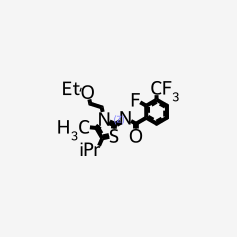 CCOCCn1c(C)c(C(C)C)s/c1=N\C(=O)c1cccc(C(F)(F)F)c1F